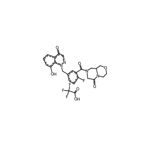 O=C(O)C(F)(F)F.O=C(c1cc(Cn2ncc(=O)c3cccc(O)c32)ccc1F)N1CC(=O)N2CCOCC2C1